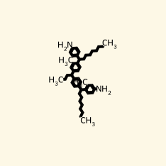 CCCCCCCCC(c1ccc(C(CCC)c2ccc(C(CCCCCCCC)c3ccc(N)cc3C)cc2)cc1)c1ccc(N)cc1C